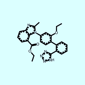 CCOC(=O)c1cccc2nc(C)n(-c3ccc(-c4ccccc4-c4nnn[nH]4)c(OCC)c3)c12